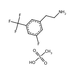 CS(=O)(=O)O.NCCc1cc(F)cc(C(F)(F)F)c1